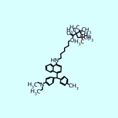 CCN(CC)c1ccc(C(c2ccc(C)cc2)c2ccc(NCCCCCCOC(=O)C(C)(CC(C)(C)C)C(C)(C)C)c3ccccc23)cc1